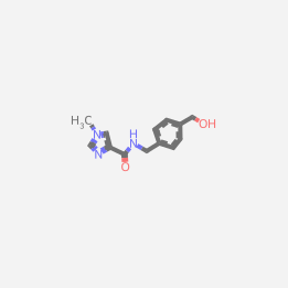 Cn1cnc(C(=O)NCc2ccc(CO)cc2)c1